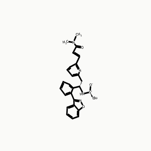 CN(C)C(=O)/C=C/c1cccc(C[C@H](N[S@@+]([O-])C(C)(C)C)c2ccccc2-c2noc3ccccc23)n1